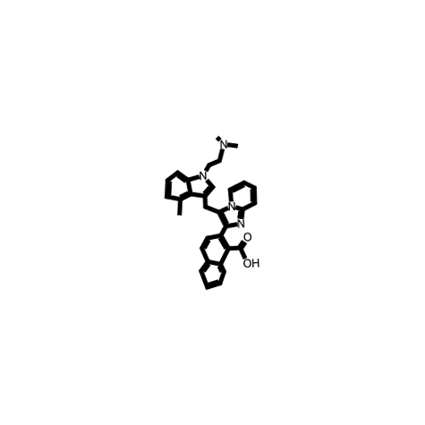 Cc1cccc2c1c(Cc1c(-c3ccc4ccccc4c3C(=O)O)nc3ccccn13)cn2CCN(C)C